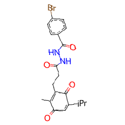 CC1=C(CCC(=O)NNC(=O)c2ccc(Br)cc2)C(=O)C(C(C)C)=CC1=O